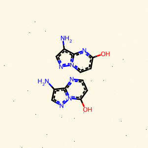 Nc1cnn2c(O)ccnc12.Nc1cnn2ccc(O)nc12